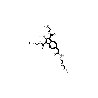 CCOCONC(=O)Cc1ccc2c(C(=O)OCC)c(N)c(C(=O)OCC)c-2cc1